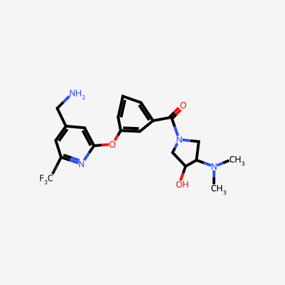 CN(C)C1CN(C(=O)c2cccc(Oc3cc(CN)cc(C(F)(F)F)n3)c2)CC1O